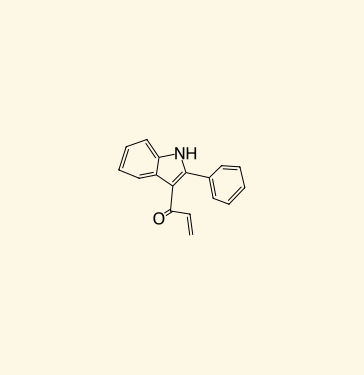 C=CC(=O)c1c(-c2ccccc2)[nH]c2ccccc12